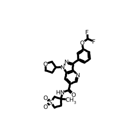 CC1(NC(=O)c2cnc3c(-c4cccc(OC(F)F)c4)nn(C4CCOC4)c3c2)CCS(=O)(=O)C1